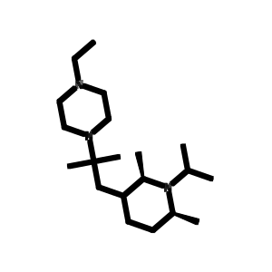 CCN1CCN(C(C)(C)CC2CC[C@H](C)N(C(C)C)[C@@H]2C)CC1